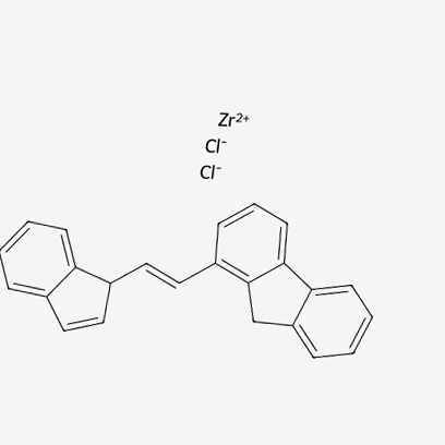 C1=CC(C=Cc2cccc3c2Cc2ccccc2-3)c2ccccc21.[Cl-].[Cl-].[Zr+2]